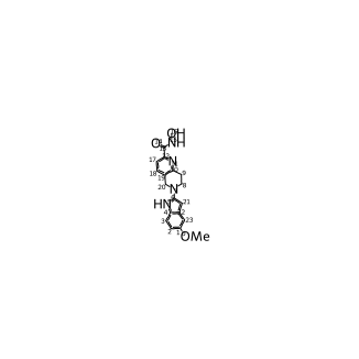 COc1ccc2[nH]c(N3CCc4nc(C(=O)NO)ccc4C3)cc2c1